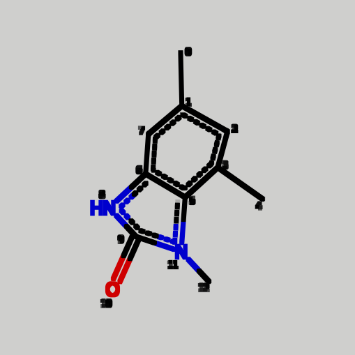 Cc1cc(C)c2c(c1)[nH]c(=O)n2C